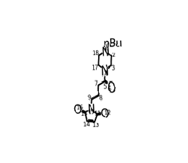 CCCCN1CCN(C(=O)CCCN2C(=O)C=CC2=O)CC1